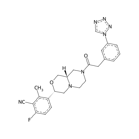 Cc1c([C@H]2CN3CCN(C(=O)Cc4cccc(-n5cnnn5)c4)C[C@H]3CO2)ccc(F)c1C#N